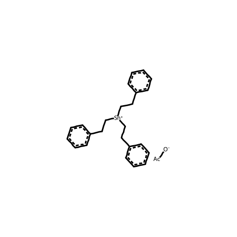 CC(=O)[O-].c1ccc(C[CH2][Sn+]([CH2]Cc2ccccc2)[CH2]Cc2ccccc2)cc1